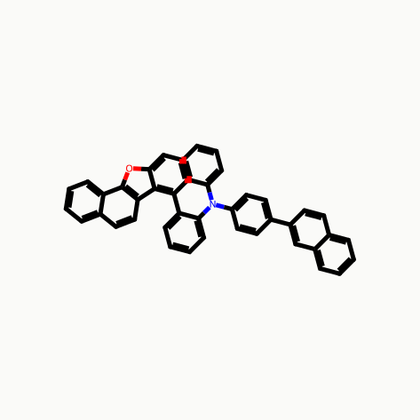 c1ccc(N(c2ccc(-c3ccc4ccccc4c3)cc2)c2ccccc2-c2cccc3oc4c5ccccc5ccc4c23)cc1